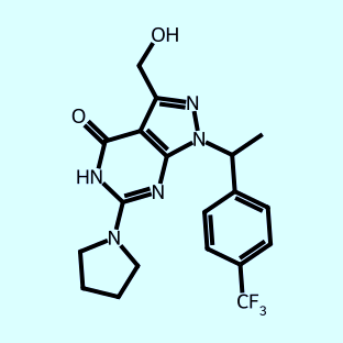 CC(c1ccc(C(F)(F)F)cc1)n1nc(CO)c2c(=O)[nH]c(N3CCCC3)nc21